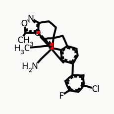 Cc1onc2c1CC1(CC2)Cc2ccc(-c3cc(F)cc(Cl)c3)cc2C12N=C(N)N(C)C2=O